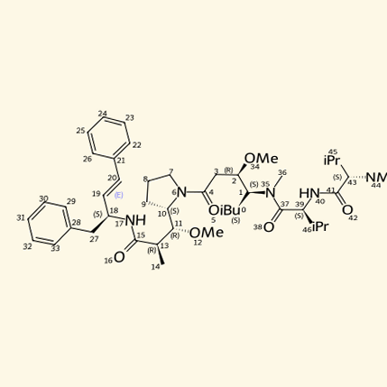 CC[C@H](C)[C@@H]([C@@H](CC(=O)N1CCC[C@H]1[C@H](OC)[C@@H](C)C(=O)N[C@H](/C=C/c1ccccc1)Cc1ccccc1)OC)N(C)C(=O)[C@@H](NC(=O)[C@@H](NC)C(C)C)C(C)C